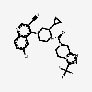 N#Cc1cnc2ccc(Cl)cc2c1N1CC[C@@H](C(=O)N2CCn3c(nnc3C(F)(F)F)C2)C(C2CC2)C1